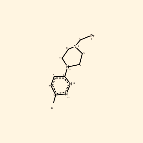 CC(C)CN1CCN(c2ccc(I)nn2)CC1